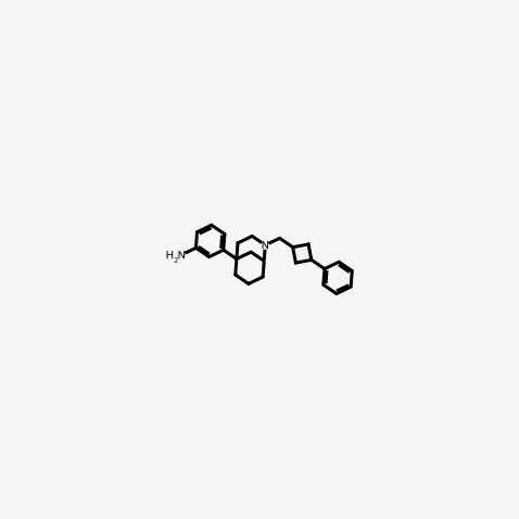 Nc1cccc(C23CCCC(C2)N(CC2CC(c4ccccc4)C2)CC3)c1